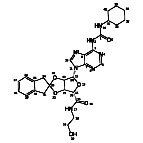 O=C(Nc1ncnc2c1ncn2[C@@H]1O[C@H](C(=O)NCCO)C2OC3(Cc4ccccc4C3)OC21)NC1CCCCC1